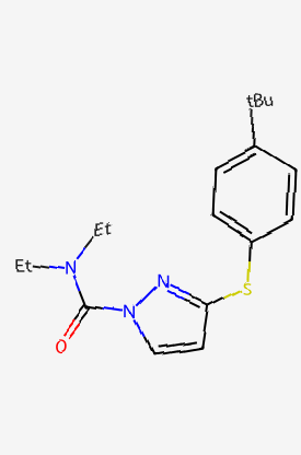 CCN(CC)C(=O)n1ccc(Sc2ccc(C(C)(C)C)cc2)n1